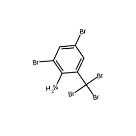 Nc1c(Br)cc(Br)cc1C(Br)(Br)Br